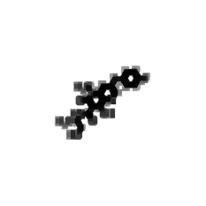 C[C@H](CO)NC(=O)c1c(O)c2ncc(Cc3ccc(F)cc3)cc2n(C)c1=O